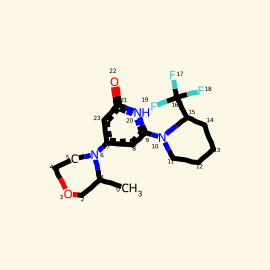 CC1COCCN1c1cc(N2CCCCC2C(F)(F)F)[nH]c(=O)c1